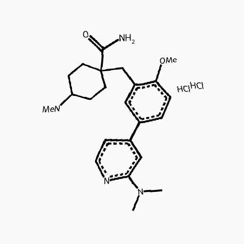 CNC1CCC(Cc2cc(-c3ccnc(N(C)C)c3)ccc2OC)(C(N)=O)CC1.Cl.Cl